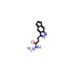 NNC(=O)CCC1=NN=c2cc3c(cc21)=CC=C3